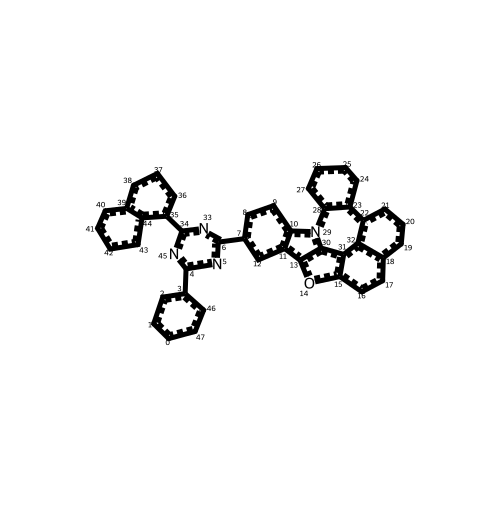 c1ccc(-c2nc(-c3ccc4c(c3)c3oc5ccc6cccc7c8ccccc8n4c3c5c67)nc(-c3cccc4ccccc34)n2)cc1